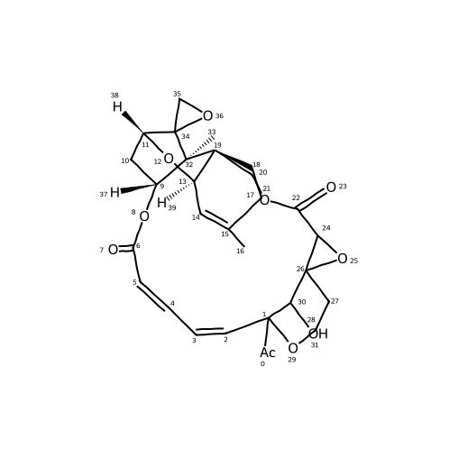 CC(=O)C12/C=C\C=C/C(=O)O[C@@H]3C[C@H]4O[C@@H]5C=C(C)CC[C@]5(COC(=O)C5OC5(CCO1)C2O)[C@]3(C)C41CO1